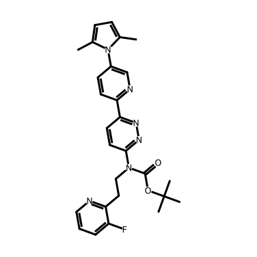 Cc1ccc(C)n1-c1ccc(-c2ccc(N(CCc3ncccc3F)C(=O)OC(C)(C)C)nn2)nc1